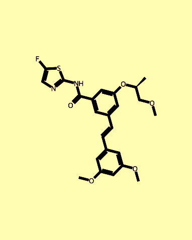 COC[C@H](C)Oc1cc(C=Cc2cc(OC)cc(OC)c2)cc(C(=O)Nc2ncc(F)s2)c1